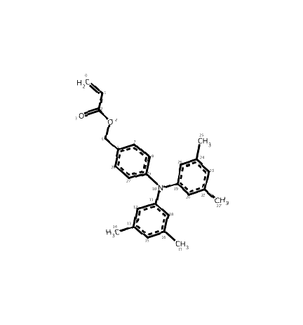 C=CC(=O)OCc1ccc(N(c2cc(C)cc(C)c2)c2cc(C)cc(C)c2)cc1